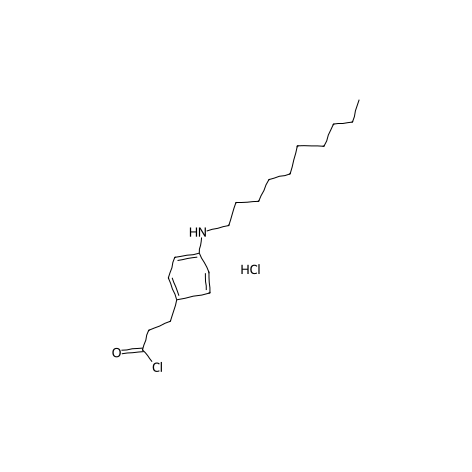 CCCCCCCCCCNc1ccc(CCC(=O)Cl)cc1.Cl